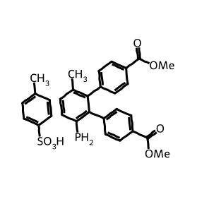 COC(=O)c1ccc(-c2c(C)ccc(P)c2-c2ccc(C(=O)OC)cc2)cc1.Cc1ccc(S(=O)(=O)O)cc1